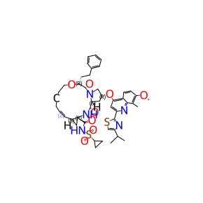 COc1ccc2c(O[C@@H]3C[C@H]4C(=O)N[C@]5(C(=O)NS(=O)(=O)C6CC6)C[C@H]5/C=C\CCCCO[C@H](CCc5ccccc5)C(=O)N4C3)cc(-c3nc(C(C)C)cs3)nc2c1C